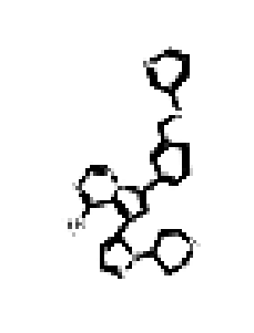 Nc1ncnn2c(-c3cccc(COc4cccnc4)c3)cc(-c3ccnn3C3CCOCC3)c12